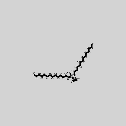 C=C.CCCCCCCCCCCCCC[N+](C)(C)CCCCCCCCCCCCCC.[Br-]